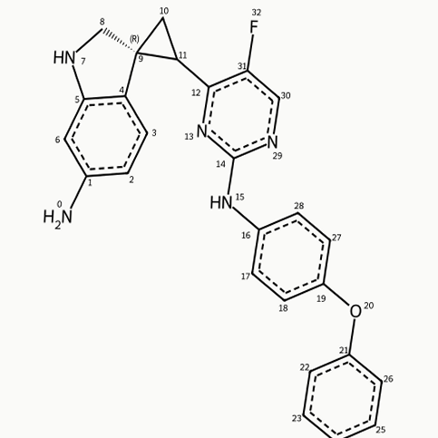 Nc1ccc2c(c1)NC[C@@]21CC1c1nc(Nc2ccc(Oc3ccccc3)cc2)ncc1F